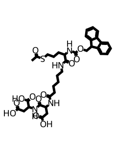 CC(=O)SCCCC(NC(=O)OCC1c2ccccc2-c2ccccc21)C(=O)NCCCCCC(=O)NC(CC(=O)O)C(=O)NC(CC(=O)O)C(=O)O